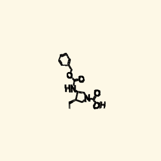 CC[C@@H]1CN(C(=O)O)C[C@@H]1NC(=O)OCc1ccccc1